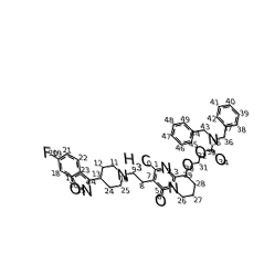 Cc1nc2n(c(=O)c1CCN1CCC(c3noc4cc(F)ccc34)CC1)CCCC2OCOC(=O)N(Cc1ccccc1)Cc1ccccc1